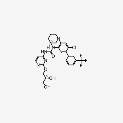 O=C(Nc1ccnc(OC[C@@H](O)CO)n1)N1c2nc(-c3cccc(C(F)(F)F)c3)c(Cl)cc2N2CCC[C@H]1C2